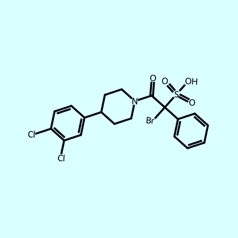 O=C(N1CCC(c2ccc(Cl)c(Cl)c2)CC1)C(Br)(c1ccccc1)S(=O)(=O)O